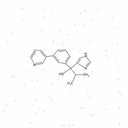 CC(C)C(O)(c1cccc(-c2cccnc2)c1)c1c[nH]cn1